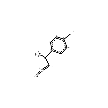 CC(N=C=O)c1ccc(F)cc1